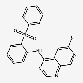 O=S(=O)(c1ccccc1)c1ccccc1Nc1ncnc2cnc(Cl)cc12